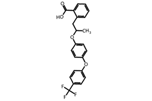 CC(Cc1ccccc1C(=O)O)Oc1ccc(Oc2ccc(C(F)(F)F)cc2)cc1